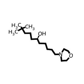 CC(C)(C)CCC[C@@H](O)CCCCCN1CCOCC1